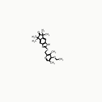 CCOc1c(C)cnc(CSc2nc3cc4c(cc3[nH]2)C(C)(C)C(=O)C4(C)C)c1C